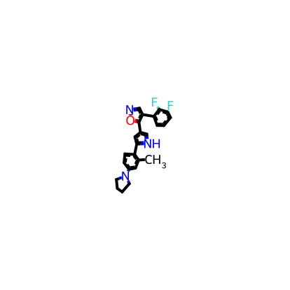 Cc1cc(N2CCCC2)ccc1-c1cc(-c2oncc2-c2cccc(F)c2F)c[nH]1